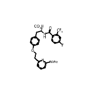 CNc1cccc(CCOc2ccc(C[C@H](NC(=O)c3ccc(F)cc3C(F)(F)F)C(=O)O)cc2)n1